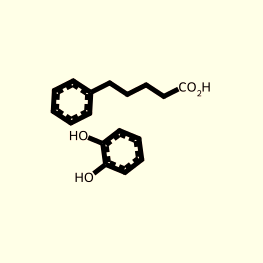 O=C(O)CCCCc1ccccc1.Oc1ccccc1O